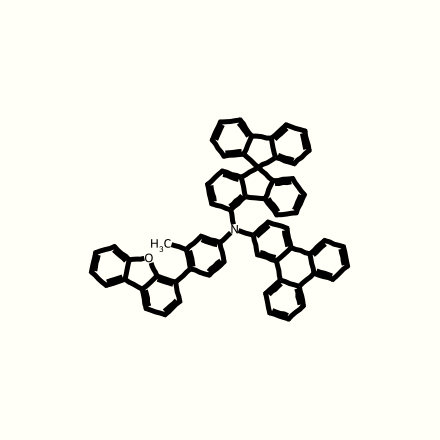 Cc1cc(N(c2ccc3c4ccccc4c4ccccc4c3c2)c2cccc3c2-c2ccccc2C32c3ccccc3-c3ccccc32)ccc1-c1cccc2c1oc1ccccc12